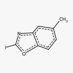 Cc1ccc2oc(I)nc2c1